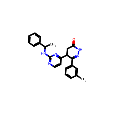 CC(Nc1nccc(C2CC(=O)NN=C2c2cccc(C(F)(F)F)c2)n1)c1ccccc1